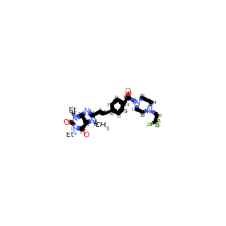 CCn1c(=O)c2c(nc(C=Cc3ccc(C(=O)N4CCN(CC(F)F)CC4)cc3)n2C)n(CC)c1=O